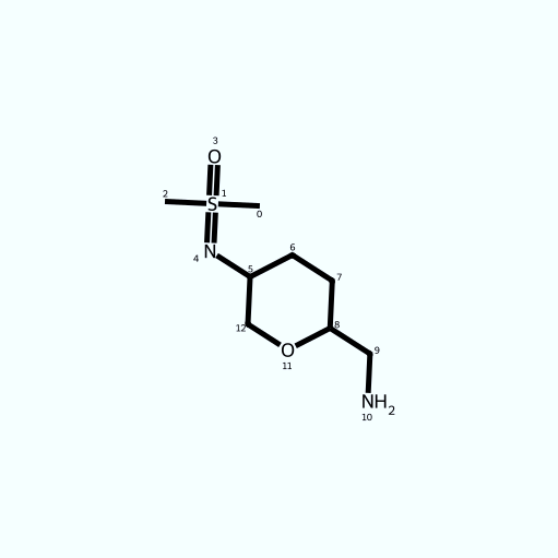 CS(C)(=O)=NC1CCC(CN)OC1